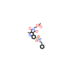 CC(=O)OCCN1C(=O)c2c(C)nc3ccc(S(=O)(=O)N(C)CCc4ccccc4)cc3c2C1=O